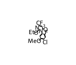 CCOc1nc(C(F)(F)F)cc(=O)n1-c1cc(OC)c(Cl)cc1F